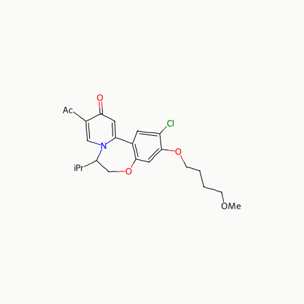 COCCCCOc1cc2c(cc1Cl)-c1cc(=O)c(C(C)=O)cn1C(C(C)C)CO2